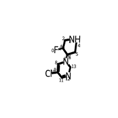 F[C@H]1CNCC[C@H]1N1C=C(Cl)C=NC1